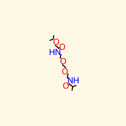 CC(C)OCC(=O)NCCOCCOCCNC(=O)C(C)C